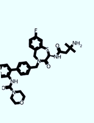 CC(C)(N)CC(=O)N[C@@H]1Sc2cc(F)ccc2CN(Cc2ccc(-c3ccccc3NC(=O)N3CCOCC3)cc2)C1=O